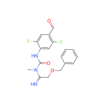 CN(C(=N)COCc1ccccc1)C(=O)Nc1cc(F)c(C=O)cc1F